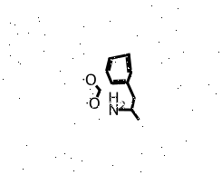 CC(N)Cc1ccccc1.[O]C[O]